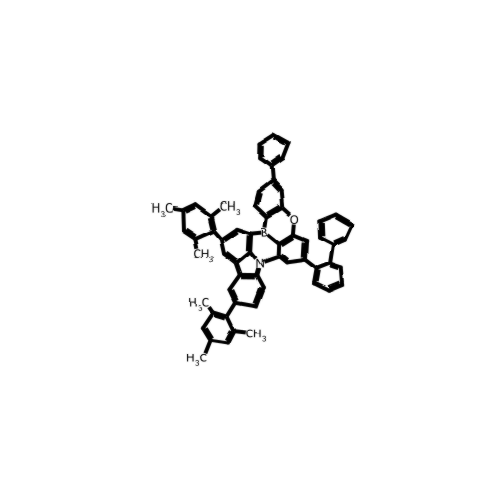 Cc1cc(C)c(-c2ccc3c(c2)c2cc(-c4c(C)cc(C)cc4C)cc4c2n3-c2cc(-c3ccccc3-c3ccccc3)cc3c2B4c2ccc(-c4ccccc4)cc2O3)c(C)c1